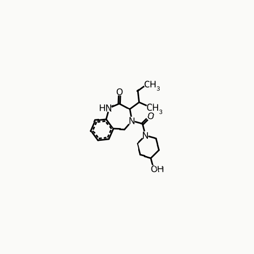 CCC(C)C1C(=O)Nc2ccccc2CN1C(=O)N1CCC(O)CC1